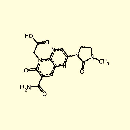 CN1CCN(c2cnc3c(cc(C(N)=O)c(=O)n3CC(=O)O)n2)C1=O